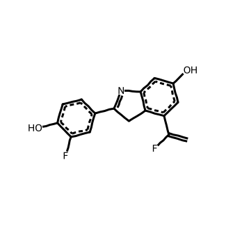 C=C(F)c1cc(O)cc2c1CC(c1ccc(O)c(F)c1)=N2